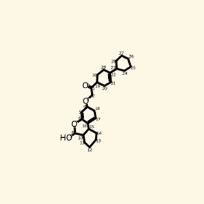 O=C(COC1C=C2OC(O)C3CCCCC3C2=CC1)C1CC=C(C2CCCCC2)CC1